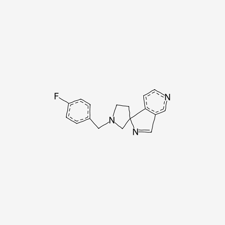 Fc1ccc(CN2CCC3(C2)N=Cc2cnccc23)cc1